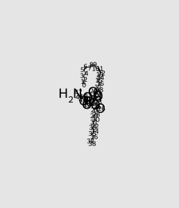 CCCCC/C=C\C/C=C\C/C=C\CCCCCCC(=O)O[C@H](COC(=O)CCCCCCCCCCCC)COP(=O)(O)OCCN